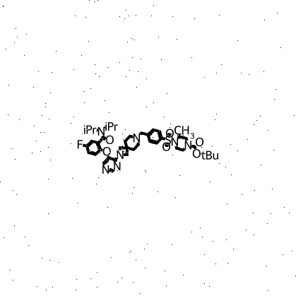 CC(C)N(C(=O)c1cc(F)ccc1Oc1cncnc1N1CC2(CCN(Cc3ccc(S(=O)(=O)N4CCN(C(=O)OC(C)(C)C)C[C@@H]4C)cc3)CC2)C1)C(C)C